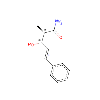 C[C@@H](C(N)=O)[C@@H](O)/C=C/c1ccccc1